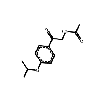 CC(=O)NCC(=O)c1ccc(OC(C)C)cc1